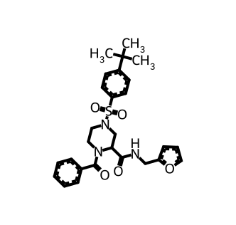 CC(C)(C)c1ccc(S(=O)(=O)N2CCN(C(=O)c3ccccc3)C(C(=O)NCc3ccco3)C2)cc1